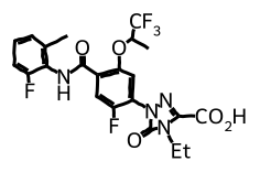 CCn1c(C(=O)O)nn(-c2cc(OC(C)C(F)(F)F)c(C(=O)Nc3c(C)cccc3F)cc2F)c1=O